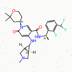 C[C@@H](NC(=O)c1cn([C@@H]2CCOC(C)(C)C2)c(=O)cc1NC1[C@H]2CN(C)C[C@@H]12)c1cccc(C(F)F)c1F